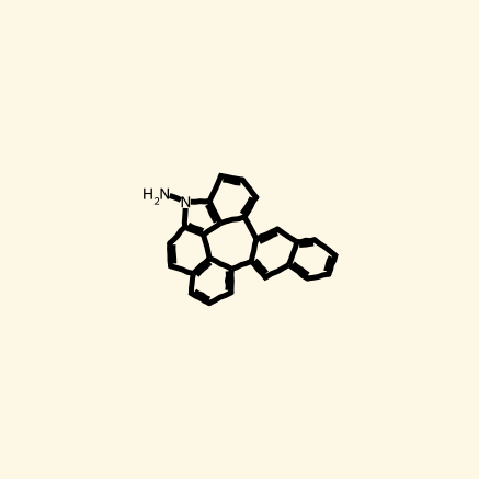 Nn1c2cccc3c2c2c4c(cccc4ccc21)-c1cc2ccccc2cc1-3